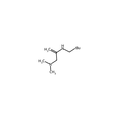 C=C(CN(C)C)NCC(C)(C)C